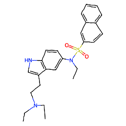 CCN(CC)CCc1c[nH]c2ccc(N(CC)S(=O)(=O)c3ccc4ccccc4c3)cc12